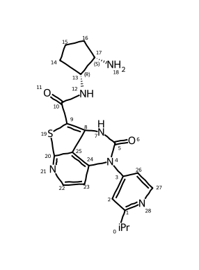 CC(C)c1cc(N2C(=O)Nc3c(C(=O)N[C@@H]4CCC[C@@H]4N)sc4nccc2c34)ccn1